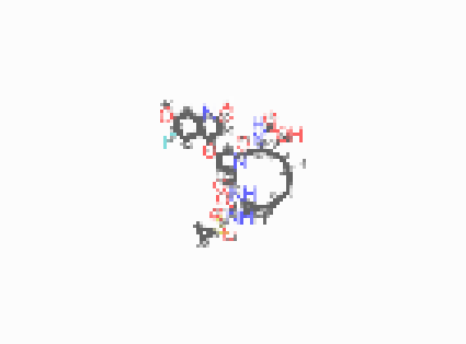 CC[C@@H]1C[C@H](C)CC/C=C\[C@@H]2C[C@@]2(C(=O)NS(=O)(=O)C2CC2)NC(=O)[C@@H]2C[C@@H](Oc3cc(OC)nc4cc(OC)c(F)cc34)CN2C(=O)[C@H]1NC(=O)O